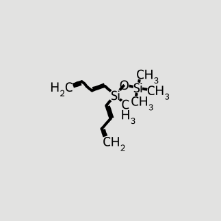 C=CC=C[Si](C)(C=CC=C)O[Si](C)(C)C